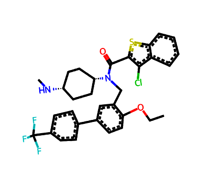 CCOc1ccc(-c2ccc(C(F)(F)F)cc2)cc1CN(C(=O)c1sc2ccccc2c1Cl)[C@H]1CC[C@@H](NC)CC1